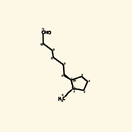 CN1CCC[C@@H]1CCCCCC=O